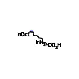 CCCCCCCC/C=C\CCCCCCCC(=O)O.[InH3]